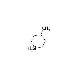 CC1CC[SiH2]CC1